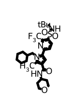 Cc1c(C(=O)NC2CCOCC2)cc(-c2ccc(S(=O)(=O)NC(C)(C)C)c(C(F)(F)F)n2)n1CC1CCCCC1